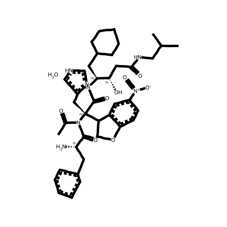 CC(=O)N(C(=O)[C@@H](N)Cc1ccccc1)[C@](Cc1c[nH]cn1)(C(=O)N[C@@H](CC1CCCCC1)[C@@H](O)CC(=O)NCC(C)C)C1COc2ccc([N+](=O)[O-])cc21.O